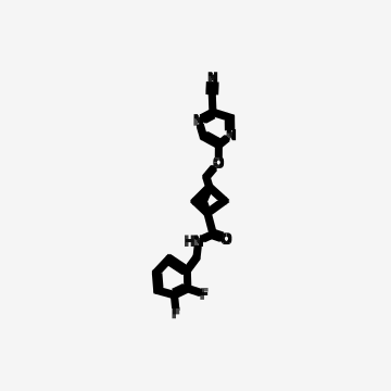 N#Cc1cnc(OCC23CC(C(=O)NCc4cccc(F)c4F)(C2)C3)cn1